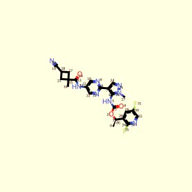 C[C@@H](OC(=O)Nc1c(-c2ncc(NC(=O)C3(C)CC(C#N)C3)cn2)cnn1C)c1cc(F)cnc1F